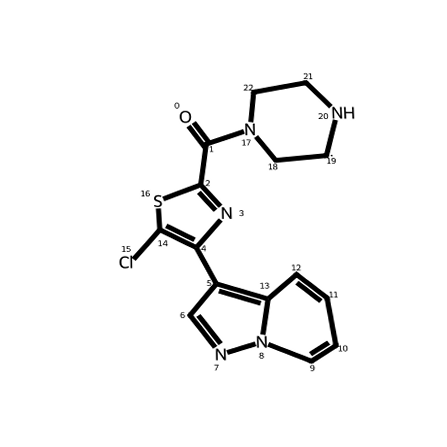 O=C(c1nc(-c2cnn3ccccc23)c(Cl)s1)N1C[CH]NCC1